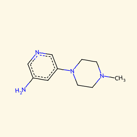 CN1CCN(c2cncc(N)c2)CC1